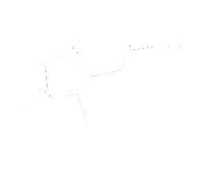 Cc1c(C=CC(=O)O)no[n+]1[O-]